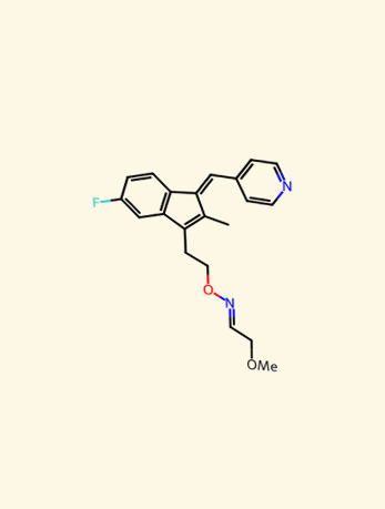 COCC=NOCCC1=C(C)C(=Cc2ccncc2)c2ccc(F)cc21